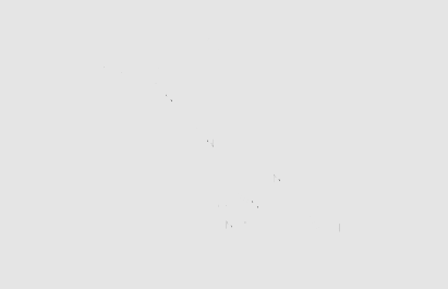 N#CC1(c2nc(Cc3ccc(F)cc3)no2)CCN(CC[C@H](NC(=O)CC2CC2)c2ccccc2)CC1